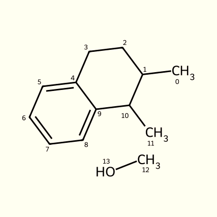 CC1CCc2ccccc2C1C.CO